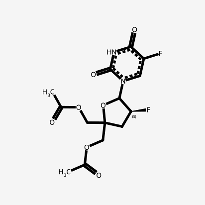 CC(=O)OCC1(COC(C)=O)C[C@H](F)C(n2cc(F)c(=O)[nH]c2=O)O1